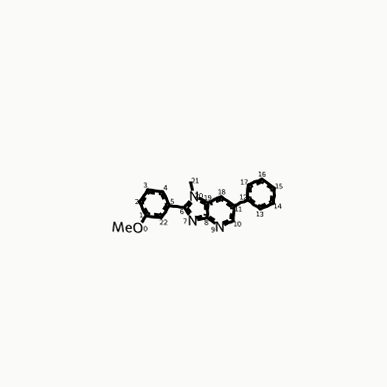 COc1cccc(-c2nc3ncc(-c4ccccc4)cc3n2C)c1